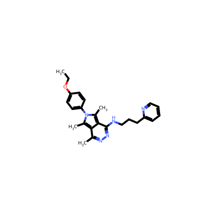 CCOc1ccc(-n2c(C)c3c(C)nnc(NCCCc4ccccn4)c3c2C)cc1